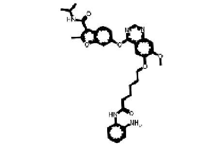 COc1cc2ncnc(Oc3ccc4c(C(=O)NC(C)C)c(C)oc4c3)c2cc1OCCCCCC(=O)Nc1ccccc1N